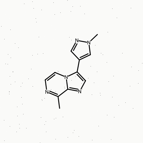 Cc1nccn2c(-c3cnn(C)c3)cnc12